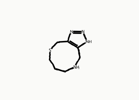 C1CNCc2[nH]nnc2CSC1